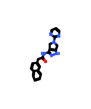 O=C(Cc1ccc2ccccc2c1)Nc1n[nH]c2c1CN(c1ncccn1)C2